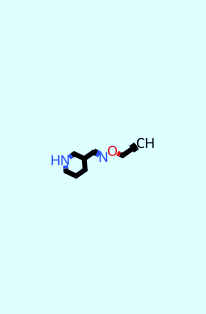 C#CCON=CC1CCCNC1